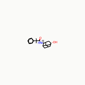 CC(C)(C(=O)N[C@H]1C2CC3CC1C[C@](O)(C3)C2)c1ccccc1